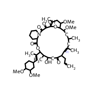 C=CCC1/C=C(\C)CC(C)CC(OC)C2OC(O)(C(=O)C(=O)N3CCCCC3C(=O)OC(C(C)=CC3CCC(OC)C(OC)C3)C(C)C(O)CC1=O)C(C)CC2OC